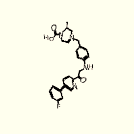 C[C@H]1CN(Cc2ccc(NCC(=O)c3ccc(-c4cccc(F)c4)cn3)cc2)CCN1C(=O)O